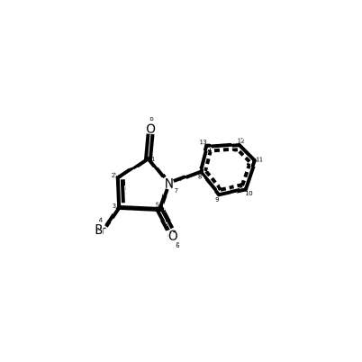 O=C1C=C(Br)C(=O)N1c1ccccc1